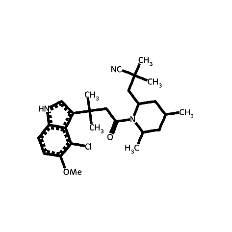 COc1ccc2[nH]cc(C(C)(C)CC(=O)N3C(C)CC(C)CC3CC(C)(C)C#N)c2c1Cl